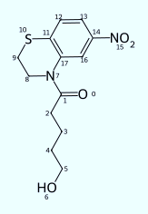 O=C(CCCCO)N1CCSc2ccc([N+](=O)[O-])cc21